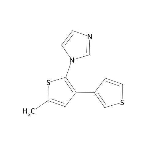 Cc1cc(-c2ccsc2)c(-n2ccnc2)s1